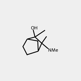 CNC1(C)C2CCC(C2)C1(C)O